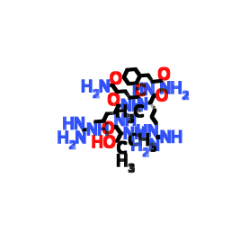 CN[C@H](C(=O)N[C@@H](CCCNC(=N)N)C(=O)N[C@@H](CCC(N)=O)C(=O)N(C)[C@@H](CCCNC(=N)N)C(=O)N[C@@H](CC1CCCCC1)C(N)=O)[C@@H](C)O